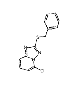 Clc1cccc2nc(SCc3ccccc3)nn12